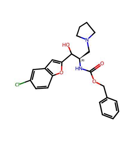 O=C(N[C@H](CN1CCCC1)C(O)c1cc2cc(Cl)ccc2o1)OCc1ccccc1